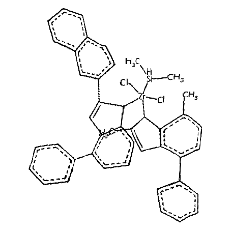 CC1=Cc2c(-c3ccccc3)ccc(C)c2[CH]1[Zr]([Cl])([Cl])([CH]1C(c2ccc3ccccc3c2)=Cc2c(-c3ccccc3)cccc21)[SiH](C)C